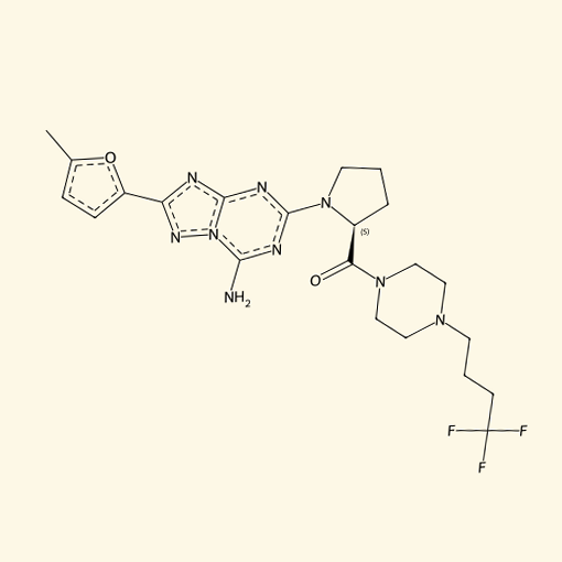 Cc1ccc(-c2nc3nc(N4CCC[C@H]4C(=O)N4CCN(CCCC(F)(F)F)CC4)nc(N)n3n2)o1